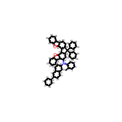 Cc1ccccc1N(c1ccc2cc(-c3ccccc3)ccc2c1)c1cc2c(c3oc4ccccc4c13)-c1c(ccc3c1oc1ccccc13)C2(c1ccccc1)c1ccccc1